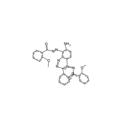 COc1ccccc1C(=O)N=Nc1ccc([SiH3])c(N=NC(=O)c2ccccc2OC)c1N=NC(=O)c1ccccc1OC